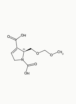 COCOC[C@@H]1C(C(=O)O)=CCN1C(=O)O